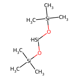 C[Si](C)(C)O[SiH]O[Si](C)(C)C